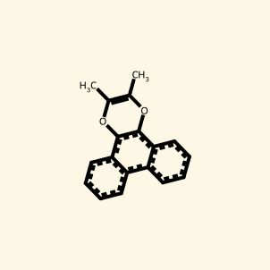 CC1=C(C)Oc2c(c3ccccc3c3ccccc23)O1